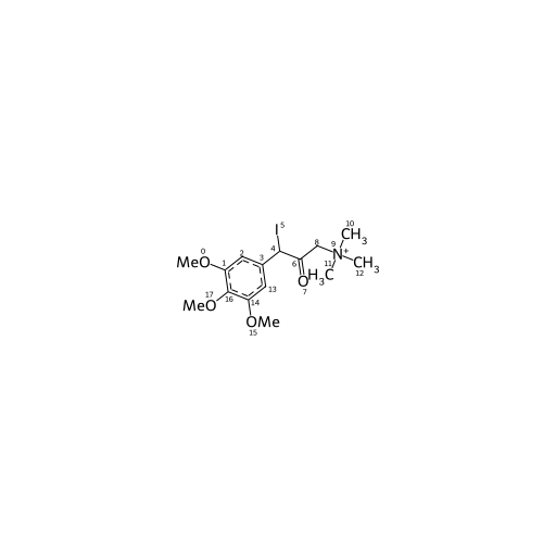 COc1cc(C(I)C(=O)C[N+](C)(C)C)cc(OC)c1OC